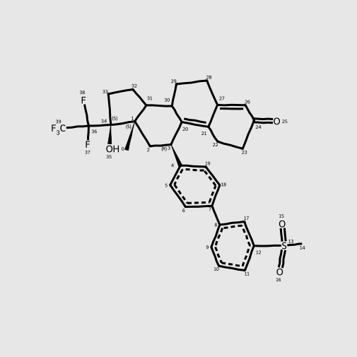 C[C@]12C[C@H](c3ccc(-c4cccc(S(C)(=O)=O)c4)cc3)C3=C4CCC(=O)C=C4CCC3C1CC[C@@]2(O)C(F)(F)C(F)(F)F